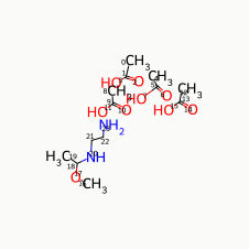 CC(=O)O.CC(=O)O.CC(=O)O.CC(=O)O.COC(C)NCCN